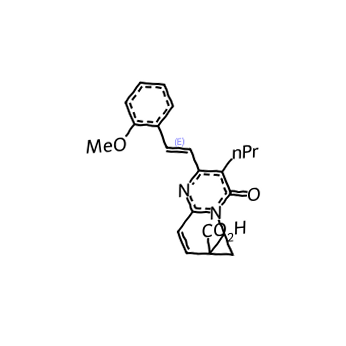 CCCc1c(/C=C/c2ccccc2OC)nc2n(c1=O)C1CC1(C(=O)O)C=C2